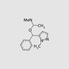 CNC(C)OC(c1ccccc1)c1ccnn1C